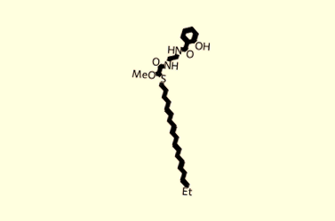 CCC=CCC=CCC=CCC=CCC=CCCCCSC(OC)C(=O)NCCNC(=O)c1ccccc1O